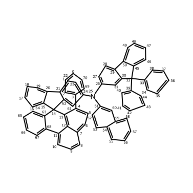 c1ccc(-c2ccc3cccc4c3c2C2(c3ccccc3-c3ccc(N(c5ccc6c(c5)C(c5ccccc5)(c5ccccc5)c5ccccc5-6)c5ccc6ccccc6c5)cc32)c2ccccc2-4)cc1